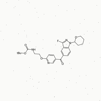 CC(C)(C)OC(=O)NCCOc1ccc(C(=O)c2ccc3c(c2)c(F)nn3C2CCCCO2)cn1